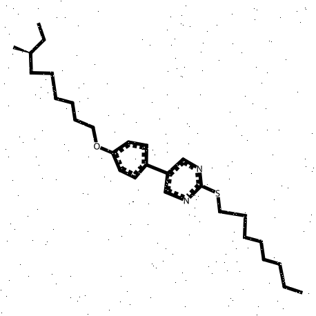 CCCCCCCCSc1ncc(-c2ccc(OCCCCCC[C@@H](C)CC)cc2)cn1